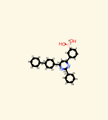 OB(O)c1cccc(-c2cc(-c3ccc(-c4ccccc4)cc3)nc(-c3ccccc3)n2)c1